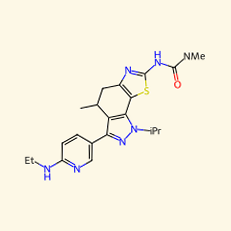 CCNc1ccc(-c2nn(C(C)C)c3c2C(C)Cc2nc(NC(=O)NC)sc2-3)cn1